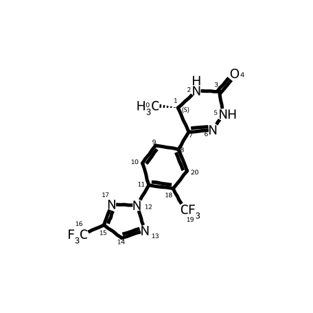 C[C@@H]1NC(=O)NN=C1c1ccc(-n2ncc(C(F)(F)F)n2)c(C(F)(F)F)c1